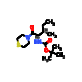 CC[C@H](C)[C@H](NC(=O)OC(C)(C)C)C(=O)N1CCSCC1